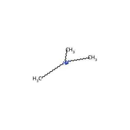 CCCCCCCCCCCCCCCCCCCn1cc[n+](CCCCCCCCCCCCCCC)c1CCCCCCCC